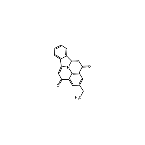 CCc1cc2c(=O)cc3c4ccccc4c4cc(=O)c(c1)c2n34